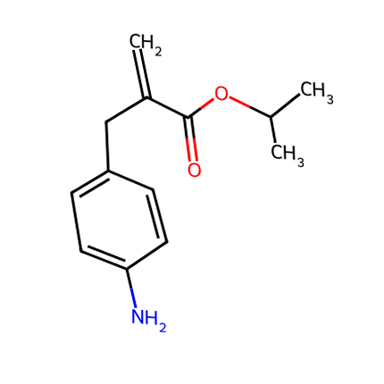 C=C(Cc1ccc(N)cc1)C(=O)OC(C)C